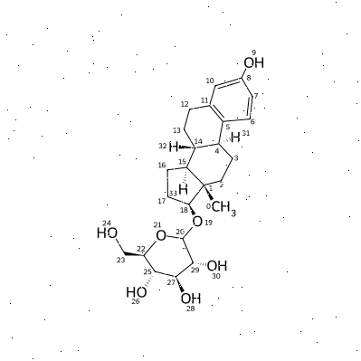 C[C@]12CC[C@@H]3c4ccc(O)cc4CC[C@H]3[C@@H]1CC[C@@H]2OC1O[C@H](CO)[C@@H](O)[C@H](O)[C@H]1O